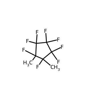 CC1(F)C(C)(F)C(F)(F)C(F)(F)C1(F)F